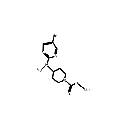 CC(C)(C)OC(=O)N1CCC(N(O)c2ncc(Br)cn2)CC1